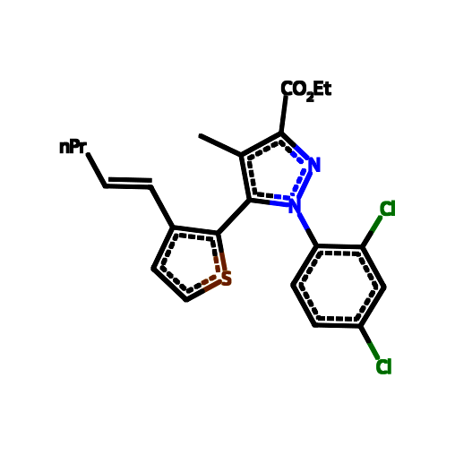 CCCC=Cc1ccsc1-c1c(C)c(C(=O)OCC)nn1-c1ccc(Cl)cc1Cl